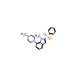 CN1CCN(c2cccc3cc(S(=O)(=O)c4ccccc4)n(C)c23)CC1